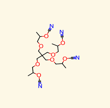 CC(COCC(COCC(C)OC#N)(COCC(C)OC#N)COCC(C)OC#N)OC#N